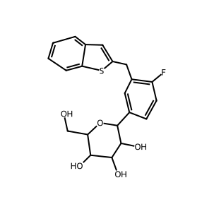 OCC1OC(c2ccc(F)c(Cc3cc4ccccc4s3)c2)C(O)C(O)C1O